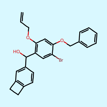 C=CCOc1cc(OCc2ccccc2)c(Br)cc1C(O)c1ccc2c(c1)CC2